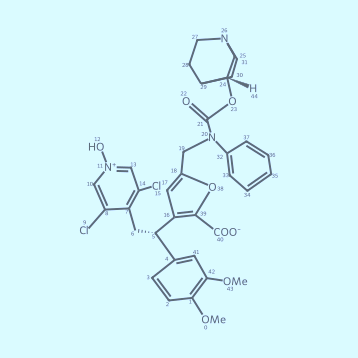 COc1ccc([C@H](Cc2c(Cl)c[n+](O)cc2Cl)c2cc(CN(C(=O)O[C@H]3CN4CCC3CC4)c3ccccc3)oc2C(=O)[O-])cc1OC